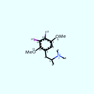 COc1cc(CC(C)N(C)C)c(OC)c(I)c1I